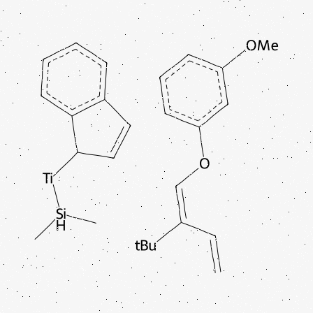 C=CC(=COc1cccc(OC)c1)C(C)(C)C.C[SiH](C)[Ti][CH]1C=Cc2ccccc21